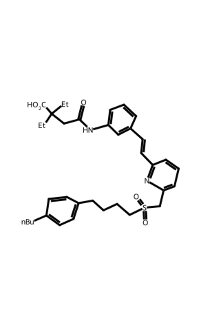 CCCCc1ccc(CCCCS(=O)(=O)Cc2cccc(/C=C/c3cccc(NC(=O)CC(CC)(CC)C(=O)O)c3)n2)cc1